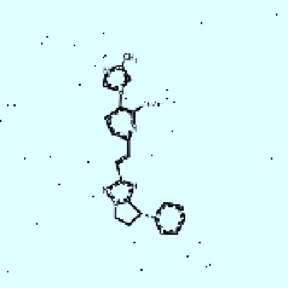 COc1nc(/C=C/c2nc3n(n2)CC[C@H]3c2ccccc2)ccc1-n1cnc(C)c1